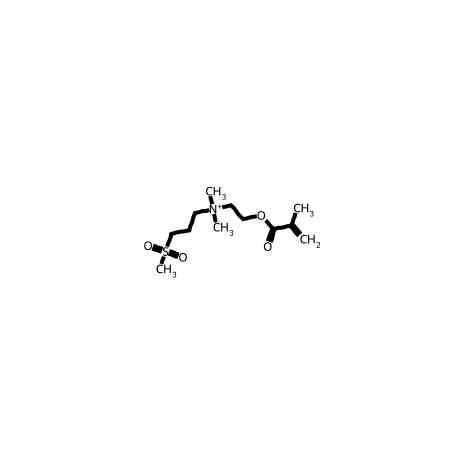 C=C(C)C(=O)OCC[N+](C)(C)CCCS(C)(=O)=O